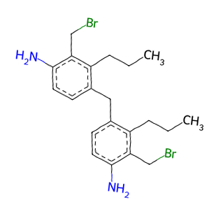 CCCc1c(Cc2ccc(N)c(CBr)c2CCC)ccc(N)c1CBr